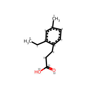 CCc1cc(C)ccc1CCC(=O)O